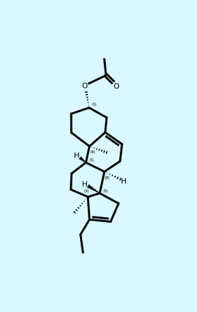 CCC1=CC[C@H]2[C@@H]3CC=C4C[C@@H](OC(C)=O)CC[C@]4(C)[C@H]3CC[C@]12C